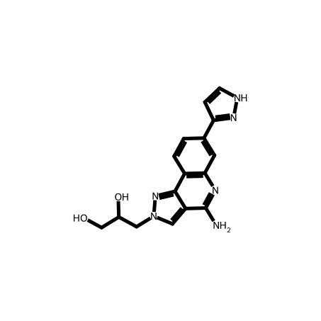 Nc1nc2cc(-c3cc[nH]n3)ccc2c2nn(CC(O)CO)cc12